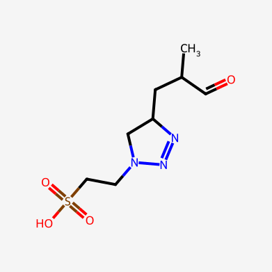 CC(C=O)CC1CN(CCS(=O)(=O)O)N=N1